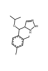 CC(C)OC(c1ccc(F)cc1F)N1C=NNN1